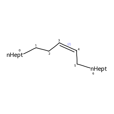 C[CH]CCCCCCC/C=C\CCCCCCCC